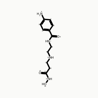 Nc1ccc(C(=O)NCCNCCC(=O)NO)cc1